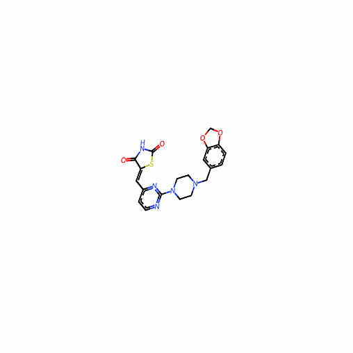 O=C1NC(=O)C(=Cc2ccnc(N3CCN(Cc4ccc5c(c4)OCO5)CC3)n2)S1